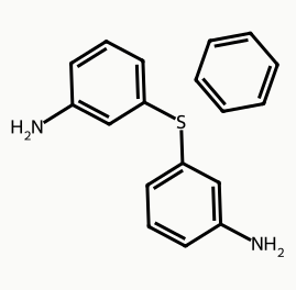 Nc1cccc(Sc2cccc(N)c2)c1.c1ccccc1